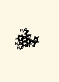 CCCNC(=O)c1cc(N2CCCC2=O)cc(NCC)c1N(CC)c1ccccc1